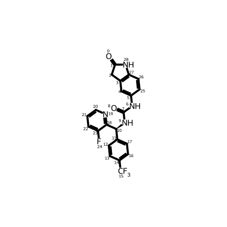 O=C1Cc2cc(NC(=O)N[C@@H](c3ccc(C(F)(F)F)cc3)c3ncccc3F)ccc2N1